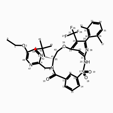 CCOc1cnc(CN2C(=O)c3cccc(c3)S(=O)(=O)Nc3cc(c(C(F)(F)F)c(-c4c(C)cccc4C)n3)OC[C@H]2CC(C)(C)C)nc1